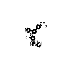 O=S(=O)(Nc1cccnn1)c1ccc(Oc2ccc(-c3ccc(C(F)(F)F)cc3)cc2-c2ccnnc2)c(Cl)c1